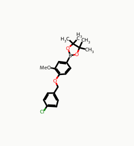 COc1cc(B2OC(C)(C)C(C)(C)O2)ccc1OCc1ccc(Cl)cc1